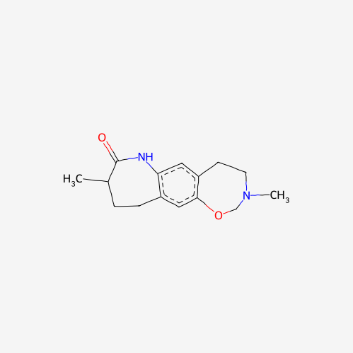 CC1CCc2cc3c(cc2NC1=O)CCN(C)CO3